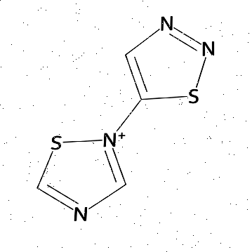 c1nc[n+](-c2cnns2)s1